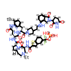 CCN1CC[C@H]2CC[C@@H](C(=O)N[C@@H](CCC(N)=O)C(=O)N[C@@H](Cc3ccc(C(C)(C)C)cc3)C(=O)N3CCC(CCNc4cccc5c4CN(C4CCC(=O)NC4=O)C5=O)CC3)N2C(=O)[C@@H](NC(=O)c2cc3cc(C(F)(F)OP(O)O)ccc3s2)C1